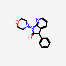 O=C1C(c2ccccc2)c2cccnc2N1N1CCOCC1